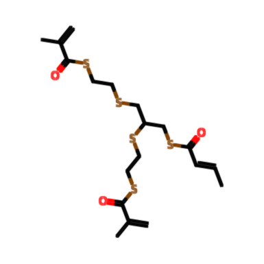 C=C(C)C(=O)SCCSCC(CSC(=O)C=CC)SCCSC(=O)C(=C)C